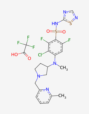 Cc1cccc(CN2CCC(N(C)c3cc(F)c(S(=O)(=O)Nc4ncns4)c(F)c3Cl)C2)n1.O=C(O)C(F)(F)F